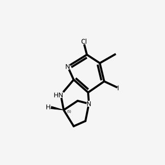 Cc1c(Cl)nc2c(c1I)N1CC[C@@H](C1)N2